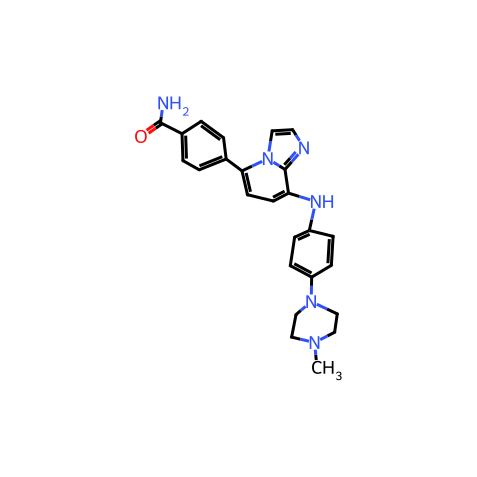 CN1CCN(c2ccc(Nc3ccc(-c4ccc(C(N)=O)cc4)n4ccnc34)cc2)CC1